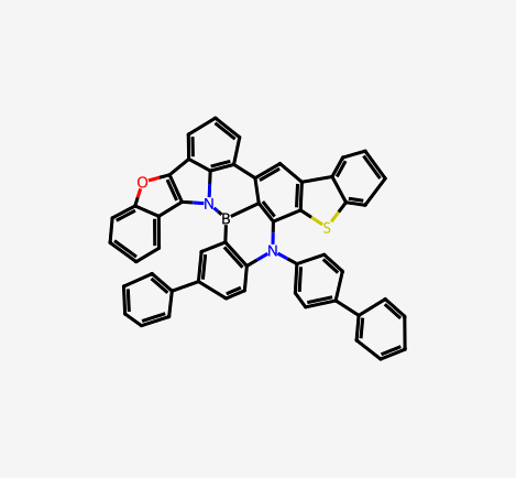 c1ccc(-c2ccc(N3c4ccc(-c5ccccc5)cc4B4c5c(cc6c(sc7ccccc76)c53)-c3cccc5c6oc7ccccc7c6n4c35)cc2)cc1